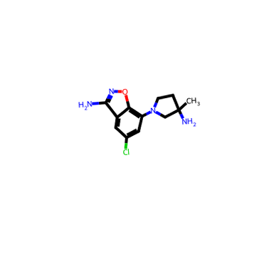 CC1(N)CCN(c2cc(Cl)cc3c(N)noc23)C1